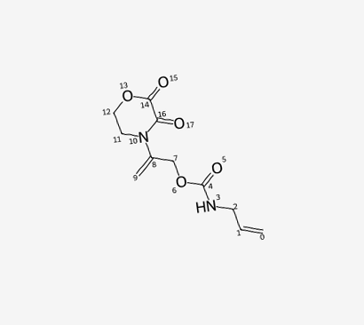 C=CCNC(=O)OCC(=C)N1CCOC(=O)C1=O